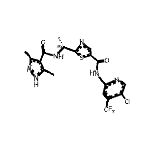 Cc1n[nH]c(C)c1C(=O)N[C@H](C)c1ncc(C(=O)Nc2cc(C(F)(F)F)c(Cl)cn2)s1